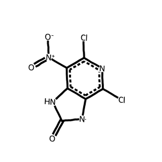 O=C1[N]c2c(Cl)nc(Cl)c([N+](=O)[O-])c2N1